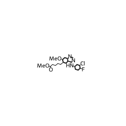 COC(=O)CCCCc1cc2c(Nc3ccc(F)c(Cl)c3)ncnc2cc1OC